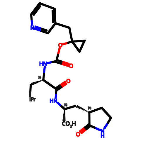 CC(C)C[C@H](NC(=O)OC1(Cc2cccnc2)CC1)C(=O)N[C@@H](C[C@@H]1CCNC1=O)C(=O)O